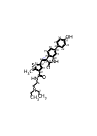 CCN(CC)CCNC(=O)c1cc(/C=C2\C(=O)Nc3cc(-c4ccc(O)cc4)ccc32)[se]c1C